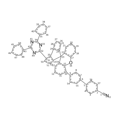 N#Cc1ccc(-c2ccc(-c3cccc4c3Oc3ccccc3C43c4ccccc4-c4c(-c5nc(-c6ccccc6)nc(-c6ccccc6)n5)cccc43)cc2)cc1